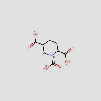 O=C(O)C1CCC(C(=O)O)N(C(=O)O)C1